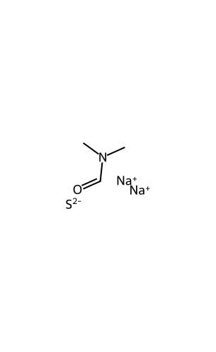 CN(C)C=O.[Na+].[Na+].[S-2]